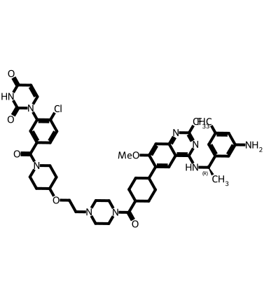 COc1cc2nc(C)nc(N[C@H](C)c3cc(N)cc(C(F)(F)F)c3)c2cc1C1CCC(C(=O)N2CCN(CCOC3CCN(C(=O)c4ccc(Cl)c(-n5ccc(=O)[nH]c5=O)c4)CC3)CC2)CC1